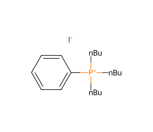 CCCC[P+](CCCC)(CCCC)c1ccccc1.[I-]